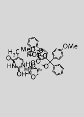 COc1ccc(C(OC[C@@]23CO[C@H]([C@H](n4cc(C)c(=O)[nH]c4=O)O2)[C@H]3OOP(=O)(O)Oc2ccccc2Cl)(c2ccccc2)c2ccc(OC)cc2)cc1